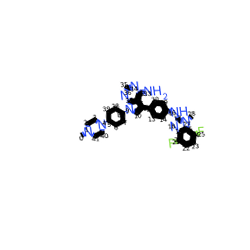 CN1CCN([C@H]2CC[C@@H](n3cc(-c4ccc(Nc5nc6c(F)ccc(F)c6n5C)cc4)c4c(N)ncnc43)CC2)CC1